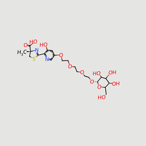 C[C@]1(C(=O)O)CSC(c2ncc(OCCOCCOCCO[C@H]3OC(CO)[C@H](O)C(O)C3O)cc2O)=N1